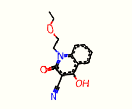 CCOCCn1c(=O)c(C#N)c(O)c2ccccc21